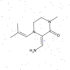 CC(C)=CN1CCN(C)C(=O)/C1=C/N